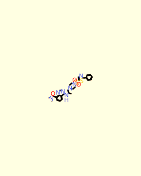 CC(CN1CCN(S(=O)(=O)c2cnc(-c3ccccc3)s2)CC1)Nc1ncnc2c(C(=O)N(C)C)cccc12